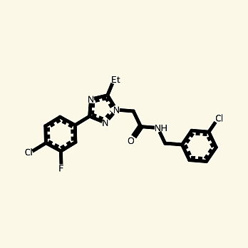 CCc1nc(-c2ccc(Cl)c(F)c2)nn1CC(=O)NCc1cccc(Cl)c1